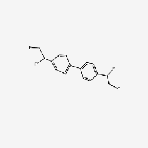 FCC(F)c1ccc(-c2ccc(C(F)CF)cc2)cc1